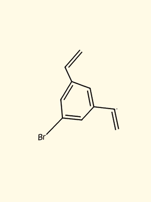 C=[C]c1cc(Br)cc(C=C)c1